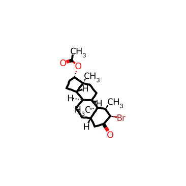 CC(=O)O[C@H]1CC[C@H]2[C@@H]3CC[C@H]4CC(=O)[C@H](Br)[C@H](C)[C@]4(C)[C@H]3CC[C@]12C